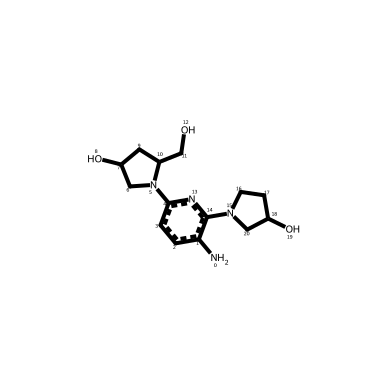 Nc1ccc(N2CC(O)CC2CO)nc1N1CCC(O)C1